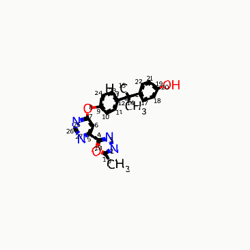 Cc1nnc(-c2cc(Oc3ccc(C(C)(C)c4ccc(O)cc4)cc3)ncn2)o1